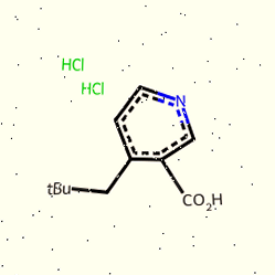 CC(C)(C)Cc1ccncc1C(=O)O.Cl.Cl